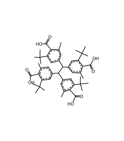 Cc1cc(C(c2cc(C)c(C(=O)O)c(C(C)(C)C)c2)C(c2cc(C)c(C(=O)O)c(C(C)(C)C)c2)c2cc(C)c(C(=O)O)c(C(C)(C)C)c2)cc(C(C)(C)C)c1C(=O)O